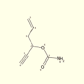 C#CC(CC=C)OC(N)=O